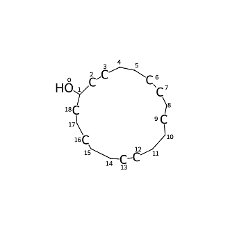 OC1CCCCCCCCCCCCCCCCC1